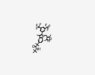 Cc1noc(C)c1Cn1c(-c2cc(C(F)(F)F)cc(C(F)(F)F)c2)c(C)c2cc(C(C)(C)C(=O)NC(C)(C)C)ccc21